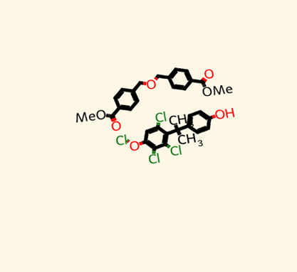 CC(C)(c1ccc(O)cc1)c1c(Cl)cc(OCl)c(Cl)c1Cl.COC(=O)c1ccc(COCc2ccc(C(=O)OC)cc2)cc1